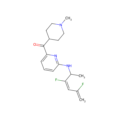 C=C(F)/C=C(/F)C(C)Nc1cccc(C(=O)C2CCN(C)CC2)n1